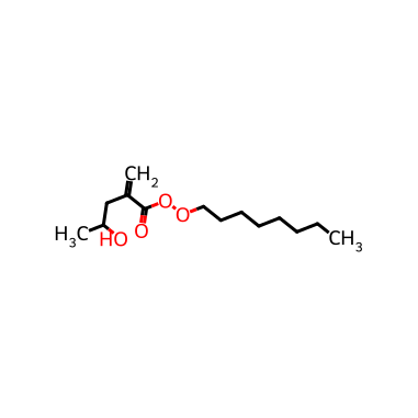 C=C(CC(C)O)C(=O)OOCCCCCCCC